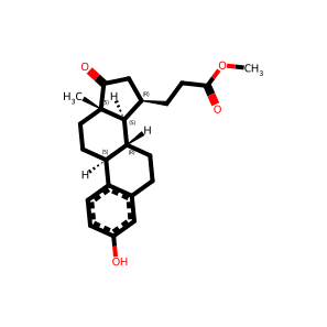 COC(=O)CC[C@@H]1CC(=O)[C@@]2(C)CC[C@@H]3c4ccc(O)cc4CC[C@H]3[C@H]12